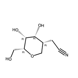 N#CC[C@@H]1CO[C@H](CO)[C@H](O)[C@@H]1O